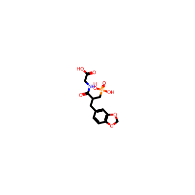 O=C(O)CNC(=O)C(Cc1ccc2c(c1)OCO2)CP(=O)(O)O